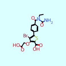 CCN(C(N)=O)C(=O)c1ccc(-c2sc(C(=O)O)c(OCC(=O)O)c2Br)cc1